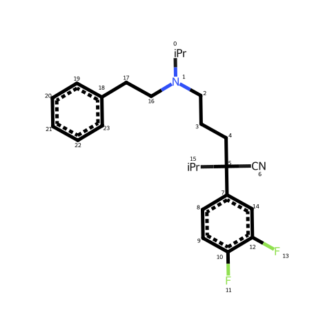 CC(C)N(CCCC(C#N)(c1ccc(F)c(F)c1)C(C)C)CCc1ccccc1